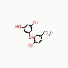 O=C(O)c1ccc(O)cc1.Oc1cc(O)cc(O)c1